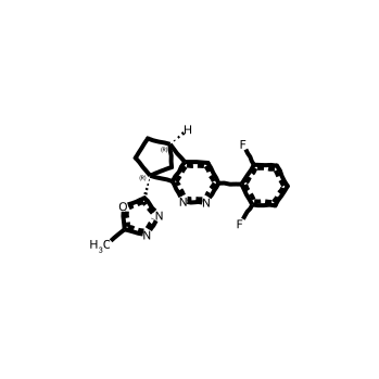 Cc1nnc([C@]23CC[C@H](C2)c2cc(-c4c(F)cccc4F)nnc23)o1